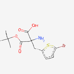 CC(C)(C)OC(=O)C(N)(Cc1ccc(Br)s1)C(=O)O